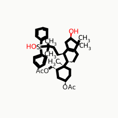 CC(=O)OC[C@H]1C[C@@H](OC(C)=O)CC[C@]1(C)[C@H]1CCC2=C(C[C@@H](O)C2(C)C)[C@@H]1CCC(C)(C)[Si](O)(c1ccccc1)c1ccccc1